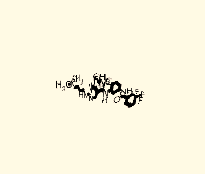 Cc1ccc(NC(=O)c2cccc(C(F)(F)F)c2)cc1Nc1nn(C)c2nc(NCCCCN(C)C)ncc12